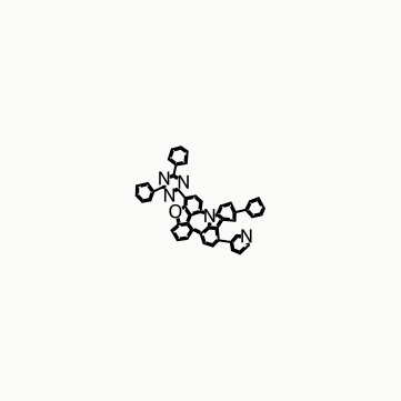 c1ccc(-c2ccc3c(c2)c2c(-c4cccnc4)ccc4c5cccc6oc7c(-c8nc(-c9ccccc9)nc(-c9ccccc9)n8)ccc(c7c65)n3c42)cc1